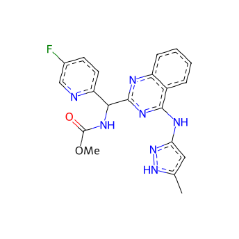 COC(=O)NC(c1ccc(F)cn1)c1nc(Nc2cc(C)[nH]n2)c2ccccc2n1